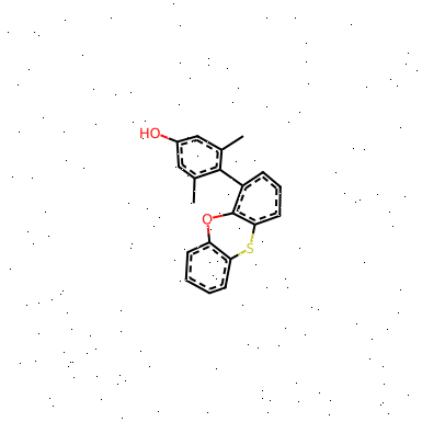 Cc1cc(O)cc(C)c1-c1cccc2c1Oc1ccccc1S2